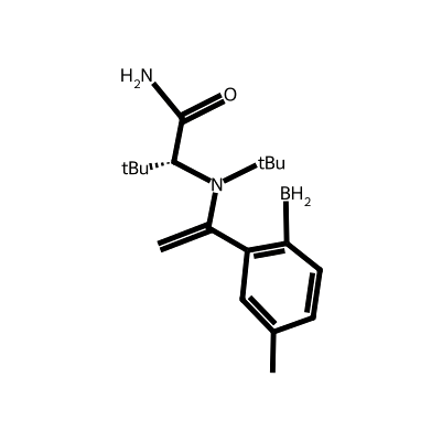 Bc1ccc(C)cc1C(=C)N([C@@H](C(N)=O)C(C)(C)C)C(C)(C)C